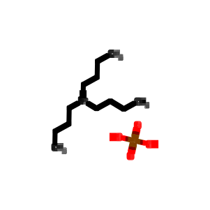 CCC[CH2][SnH]([CH2]CCC)[CH2]CCC.O=S(=O)(O)O